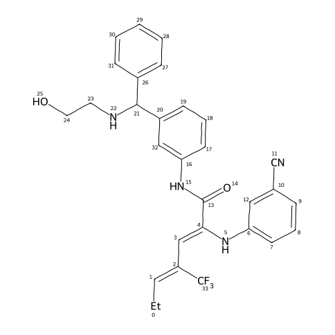 CC/C=C(/C=C(\Nc1cccc(C#N)c1)C(=O)Nc1cccc(C(NCCO)c2ccccc2)c1)C(F)(F)F